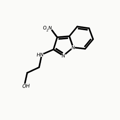 O=[N+]([O-])c1c(NCCO)nn2ccccc12